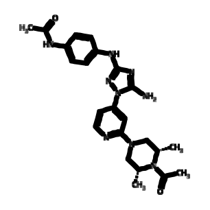 CC(=O)Nc1ccc(Nc2nc(N)n(-c3ccnc(N4C[C@@H](C)N(C(C)=O)[C@@H](C)C4)c3)n2)cc1